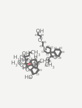 CCC[C@@](C)(O)[C@H]1C[C@@]23C=C[C@]1(OC)[C@@H]1Oc4c(O)ccc5c4[C@@]12CCN(C)[C@@H]3C5.CCOC(=O)C1(c2ccccc2)CCN(CCOCCO)CC1